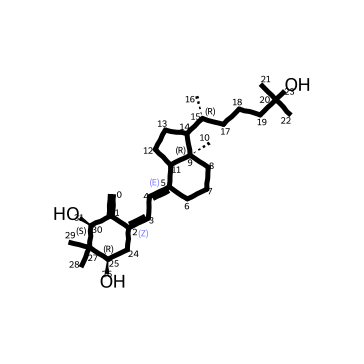 C=C1/C(=C\C=C2/CCC[C@@]3(C)C2CCC3[C@H](C)CCCC(C)(C)O)C[C@@H](O)C(C)(C)[C@H]1O